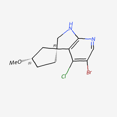 CO[C@H]1CC[C@@]2(CNc3ncc(Br)c(Cl)c32)C1